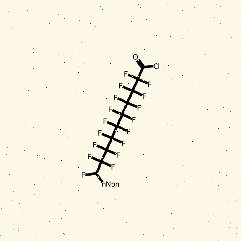 CCCCCCCCCC(F)C(F)(F)C(F)(F)C(F)(F)C(F)(F)C(F)(F)C(F)(F)C(F)(F)C(F)(F)C(=O)Cl